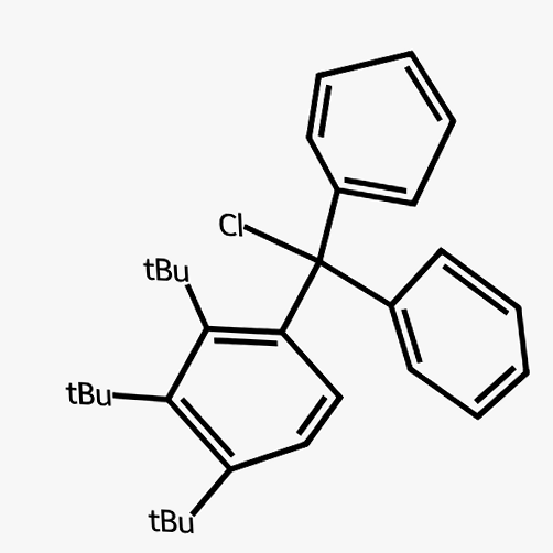 CC(C)(C)c1ccc(C(Cl)(c2ccccc2)c2ccccc2)c(C(C)(C)C)c1C(C)(C)C